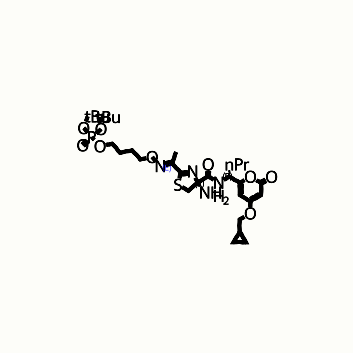 CCC[C@@H](NC(=O)[C@]1(N)CSC(/C(C)=N/OCCCCOP(=O)(OC(C)(C)C)OC(C)(C)C)=N1)c1cc(OCC2CC2)cc(=O)o1